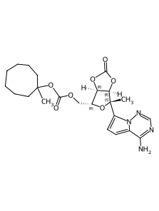 CC1(OC(=O)OC[C@H]2O[C@@](C)(c3ccc4c(N)ncnn34)[C@@H]3OC(=O)O[C@@H]32)CCCCCCC1